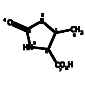 CC1SC(=O)NC1C(=O)O